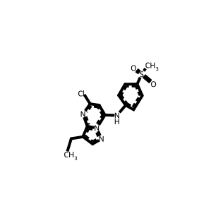 CCc1cnn2c(Nc3ccc(S(C)(=O)=O)cc3)cc(Cl)nc12